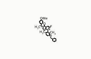 COc1ccc([C@@H](C)n2cnc3c(-c4c(C)ccc(OCc5ccccc5)c4C)nc(F)cc3c2=O)cc1